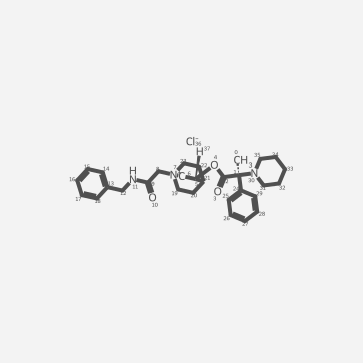 C[C@@](C(=O)O[C@H]1C[N+]2(CC(=O)NCc3ccccc3)CCC1CC2)(c1ccccc1)N1CCCCC1.[Cl-]